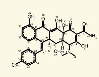 CN(C)[C@@H]1C(O)=C(C(N)=O)C(=O)[C@]2(O)C(O)=C3C(=O)c4c(O)cccc4/C(=C\c4ccc(Cl)cc4)[C@@H]3[C@@H](O)[C@H]12